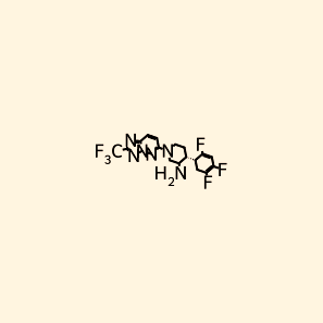 NC1CN(c2ccc3nc(C(F)(F)F)nn3n2)CC[C@@H]1C1CC(F)=C(F)C=C1F